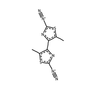 Cc1sc([N+]#N)nc1-c1nc([N+]#N)sc1C